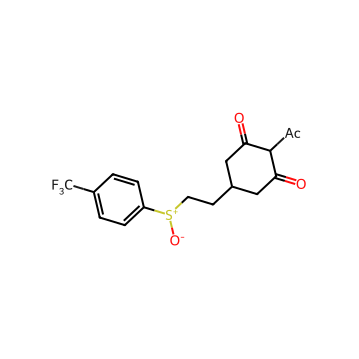 CC(=O)C1C(=O)CC(CC[S+]([O-])c2ccc(C(F)(F)F)cc2)CC1=O